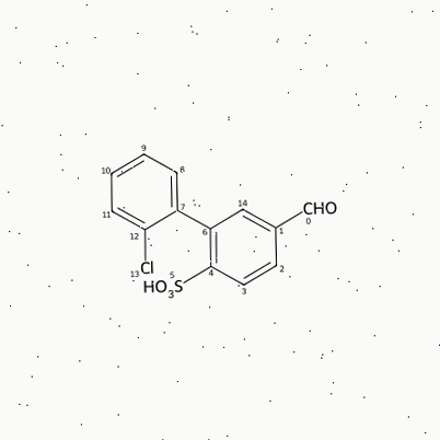 O=Cc1ccc(S(=O)(=O)O)c(-c2ccccc2Cl)c1